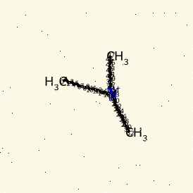 CCCCCCCCCCCCCCCCCc1n(CCCCCCCCCCCCCC)cc[n+]1CCCCCCCCCCCC